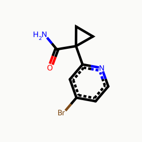 NC(=O)C1(c2cc(Br)ccn2)CC1